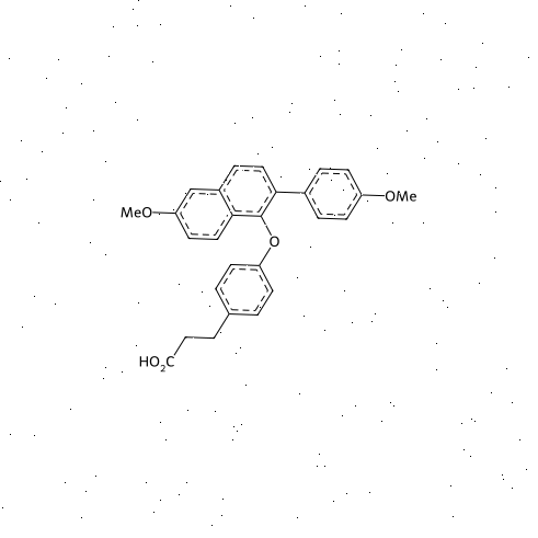 COc1ccc(-c2ccc3cc(OC)ccc3c2Oc2ccc(CCC(=O)O)cc2)cc1